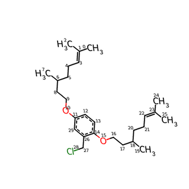 CC(C)=CCCC(C)CCOc1ccc(OCCC(C)CCC=C(C)C)c(CCl)c1